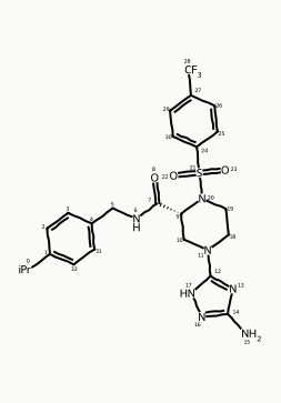 CC(C)c1ccc(CNC(=O)[C@H]2CN(c3nc(N)n[nH]3)CCN2S(=O)(=O)c2ccc(C(F)(F)F)cc2)cc1